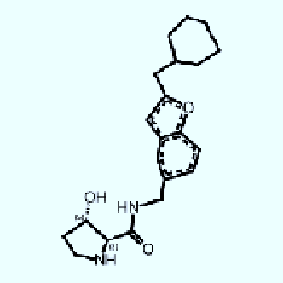 O=C(NCc1ccc2oc(CC3CCCCC3)cc2c1)[C@H]1NCC[C@@H]1O